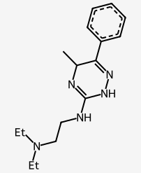 CCN(CC)CCNC1=NC(C)C(c2ccccc2)=NN1